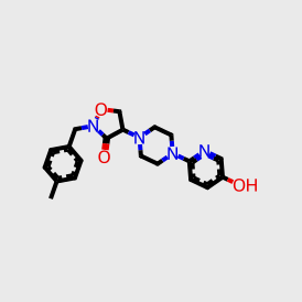 Cc1ccc(CN2OCC(N3CCN(c4ccc(O)cn4)CC3)C2=O)cc1